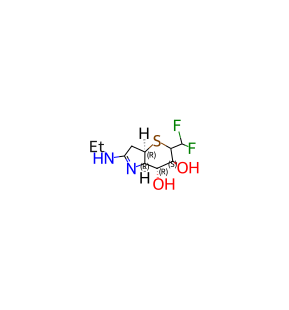 CCNC1=N[C@@H]2[C@@H](O)[C@H](O)C(C(F)F)S[C@@H]2C1